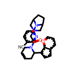 N#Cc1ccc(N2C3CCC2CN(CC(=O)N2CC=CCC2c2ccc4cccoc2-4)C3)nc1